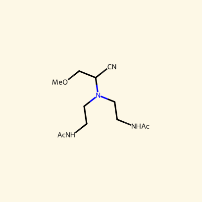 COCC(C#N)N(CCNC(C)=O)CCNC(C)=O